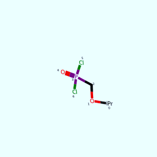 CC(C)OCP(=O)(Cl)Cl